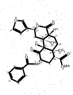 COC(=O)[C@@H]1C[C@H](NC(=O)c2ccccc2)C(=O)[C@H]2[C@@]1(C)CC[C@H]1C(=O)O[C@H](c3ccoc3)C[C@]21C